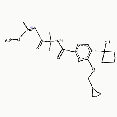 C=C(/N=C(/C)ON)C(C)(C)NC(=O)c1ccc(C2(O)CCC2)c(OCC2CC2)n1